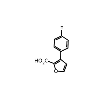 O=C(O)c1occc1-c1ccc(F)cc1